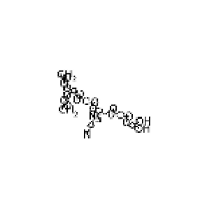 C=CC(=O)OCOc1ccc(OC(=O)C2CCC(C(=O)Oc3ccc(CCOC(=O)C4CCC(C(=O)Oc5ccc(O)c(O)c5)CC4)c4sc(-c5ccc(C#N)cc5)nc34)CC2)cc1OCOC(=O)C=C